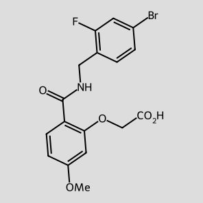 COc1ccc(C(=O)NCc2ccc(Br)cc2F)c(OCC(=O)O)c1